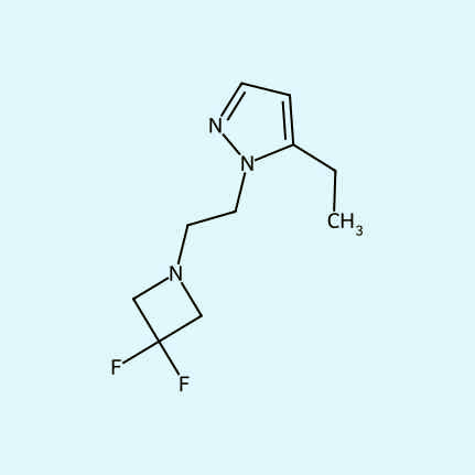 CCc1ccnn1CCN1CC(F)(F)C1